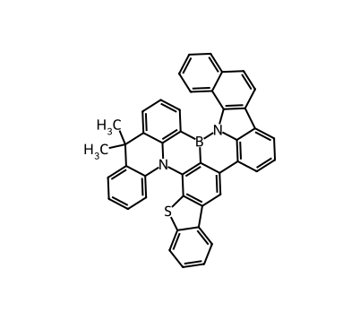 CC1(C)c2ccccc2N2c3c(cccc31)B1c3c(cc4c(sc5ccccc54)c32)-c2cccc3c4ccc5ccccc5c4n1c23